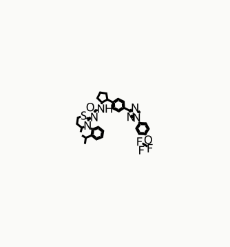 CC(C)c1ccccc1N1/C(=N/C(=O)NC2CCCC2c2ccc(-c3ncn(-c4ccc(OC(F)(F)F)cc4)n3)cc2)SCCC1C